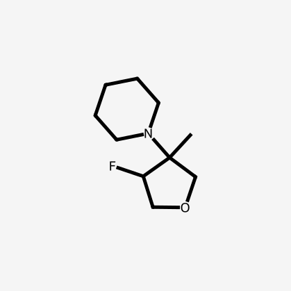 CC1(N2CCCCC2)COCC1F